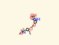 CCCc1cc(-c2nc(OCC)c(C)s2)ccc1OCCCOc1ccc2[nH]c(C(C)C(=O)O)c(C)c2c1